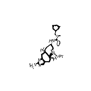 CCCN1C[C@@H](NC(=O)N(C)Cc2ccccc2)C[C@@H]2Cc3nc(N)ncc3C[C@H]21